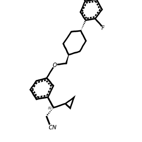 COc1ccc(F)c([C@H]2CC[C@H](COc3cccc([C@@H](CC#N)C4CC4)c3)CC2)c1